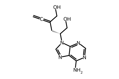 C=C=C(CO)C[C@H](CO)n1cnc2c(N)ncnc21